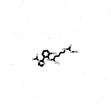 CC(CCCCNC(=O)OC(C)(C)C)Nc1c(-c2nccn2C(F)F)cccc1[N+](=O)[O-]